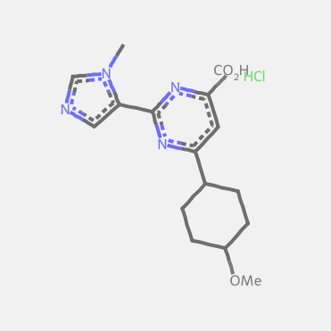 COC1CCC(c2cc(C(=O)O)nc(-c3cncn3C)n2)CC1.Cl